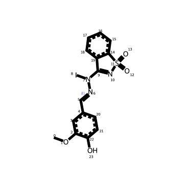 COc1cc(/C=N/N(I)C2=NS(=O)(=O)c3ccccc32)ccc1O